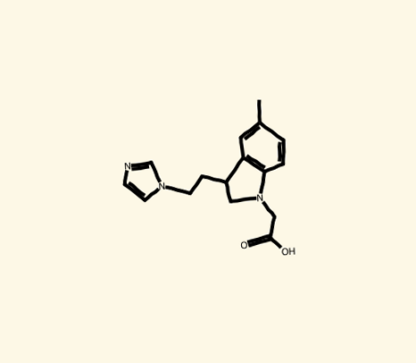 Cc1ccc2c(c1)C(CCn1ccnc1)CN2CC(=O)O